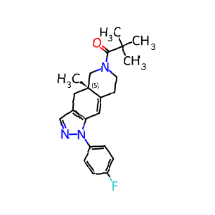 CC(C)(C)C(=O)N1CCC2=Cc3c(cnn3-c3ccc(F)cc3)C[C@]2(C)C1